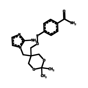 CC1(C)OCC(COSc2ccc(C(N)=O)cc2)(Cn2ccnc2N)CO1